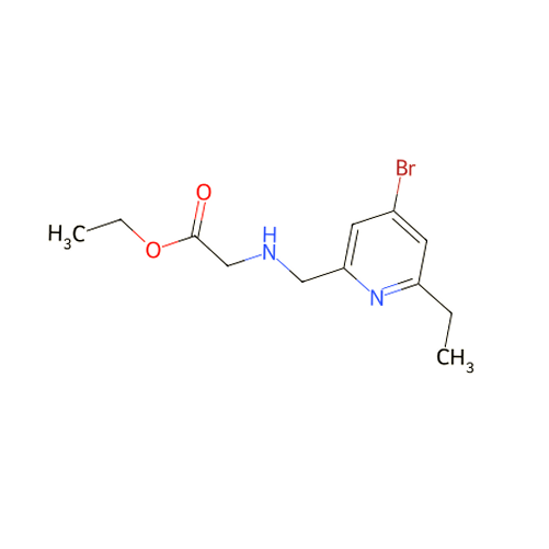 CCOC(=O)CNCc1cc(Br)cc(CC)n1